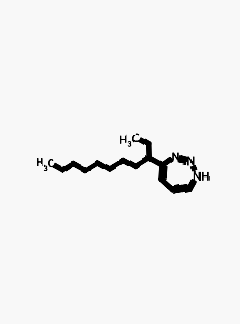 CCCCCCCCC(CC)C1=CC=CNN=N1